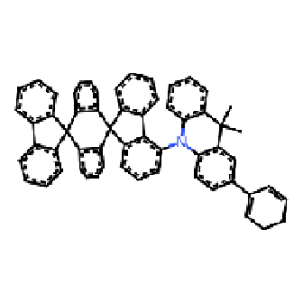 CC1(C)c2ccccc2N(c2cccc3c2-c2ccccc2C32c3ccccc3C3(c4ccccc4-c4ccccc43)c3ccccc32)c2ccc(C3=CCCC=C3)cc21